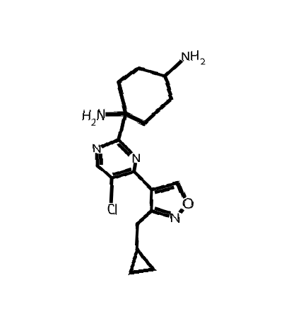 NC1CCC(N)(c2ncc(Cl)c(-c3conc3CC3CC3)n2)CC1